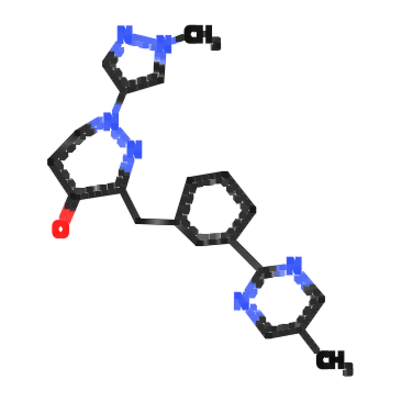 Cc1cnc(-c2cccc(Cc3nn(-c4cnn(C)c4)ccc3=O)c2)nc1